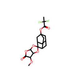 COC1C(=O)OC2OC3(OC21)C1CC2CC3CC(OC(=O)C(C)(F)F)(C2)C1